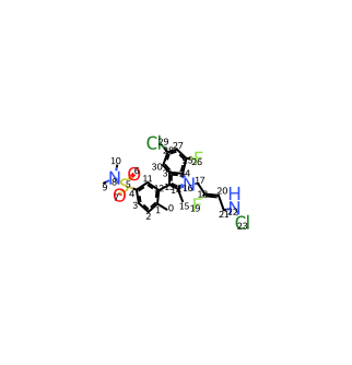 Cc1ccc(S(=O)(=O)N(C)C)cc1-c1c(C)n(C/C(F)=C/CNCl)c2c(F)cc(Cl)cc12